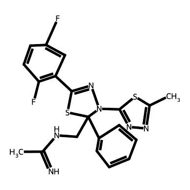 CC(=N)NCC1(c2ccccc2)SC(c2cc(F)ccc2F)=NN1c1nnc(C)s1